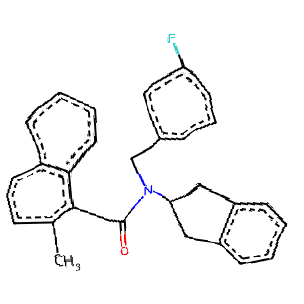 Cc1ccc2ccccc2c1C(=O)N(Cc1cccc(F)c1)C1Cc2ccccc2C1